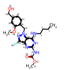 CCCCNc1nc(NC(=O)OC)nc2c(F)nn(Cc3ccc(CO)cc3OC)c12